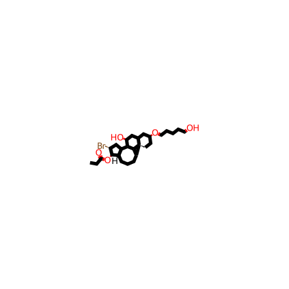 CCC(=O)O[C@H]1[C@H](Br)CC2C3C4C(CCC[C@@H]21)[C@@]41CC[C@H](OCCCCCO)CC1C[C@@H]3O